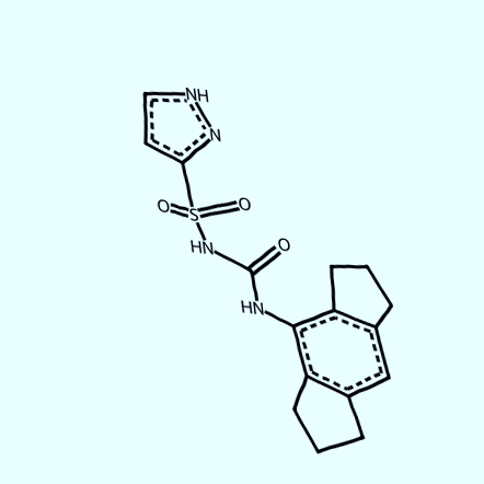 O=C(Nc1c2c(cc3c1CCC3)CCC2)NS(=O)(=O)c1cc[nH]n1